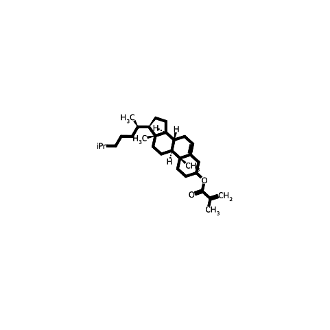 C=C(C)C(=O)OC1CC[C@@]2(C)C(=CC[C@H]3[C@@H]4CC[C@H]([C@H](C)CCCC(C)C)[C@@]4(C)CC[C@@H]32)C1